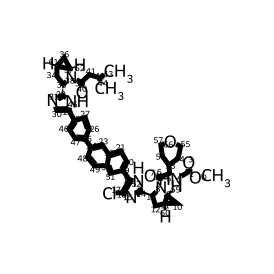 COC(=O)N[C@H](C(=O)N1[C@@H]2C[C@@H]2C[C@H]1c1nc(Cl)c(-c2ccc3cc(-c4ccc(-c5cnc([C@@H]6C[C@H]7C[C@H]7N6C(=O)CC(C)C)[nH]5)cc4)ccc3c2)[nH]1)C1CCOCC1